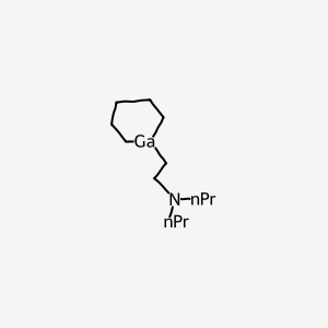 CCCN(CCC)C[CH2][Ga]1[CH2]CCC[CH2]1